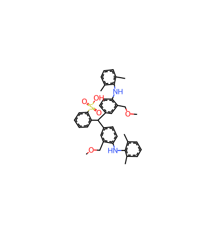 COCc1cc(C(c2ccc(Nc3c(C)cccc3C)c(COC)c2)c2ccccc2S(=O)(=O)O)ccc1Nc1c(C)cccc1C